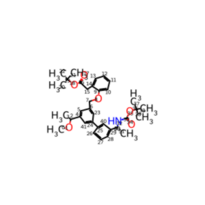 COC(C)c1cc(COc2ccccc2CC(=O)OC(C)(C)C)cc(-c2cccc([C@@H](C)NC(=O)OC(C)(C)C)c2)c1